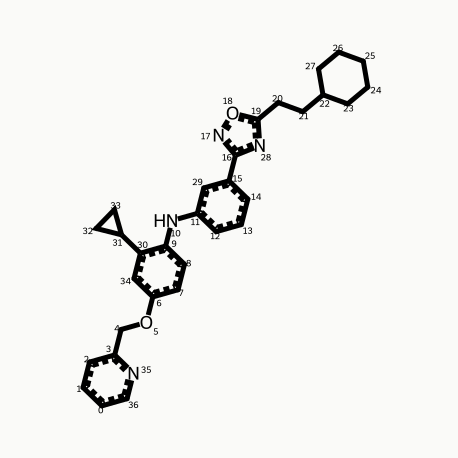 c1ccc(COc2ccc(Nc3cccc(-c4noc(CCC5CCCCC5)n4)c3)c(C3CC3)c2)nc1